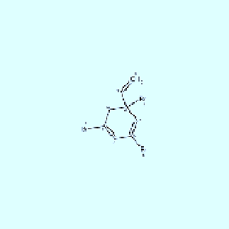 C=CC1(Br)C=C(Br)C=C(Br)C1